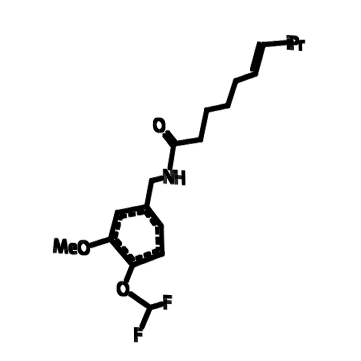 COc1cc(CNC(=O)CCCC/C=C/C(C)C)ccc1OC(F)F